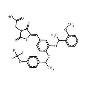 COc1ccccc1C(C)Oc1cc(/C=C2\SC(=S)N(CC(=O)O)C2=O)ccc1OC(C)c1ccc(OC(F)(F)F)cc1